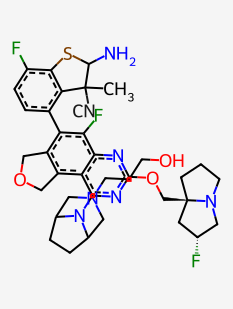 CC1(C#N)c2c(-c3c4c(c5c(N6C7CCC6CN(CCCO)C7)nc(OC[C@@]67CCCN6C[C@H](F)C7)nc5c3F)COC4)ccc(F)c2SC1N